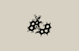 CC1=Cc2ccc3ccccc3c2[CH]1[Mg][C]1=C(C)C(=[Si](C)C)c2ccc3ccccc3c21